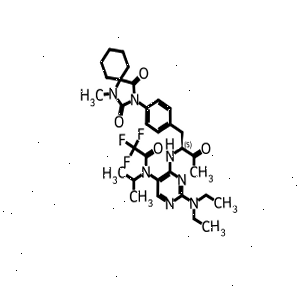 CCN(CC)c1ncc(N(C(=O)C(F)(F)F)C(C)C)c(N[C@@H](Cc2ccc(N3C(=O)N(C)C4(CCCCC4)C3=O)cc2)C(C)=O)n1